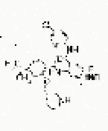 CC(C)c1ccc(C(=O)Nc2ccc(F)cc2C(=O)Nc2ccc(Cl)cn2)c(OCC2CCCNC2)c1.Cl.Cl